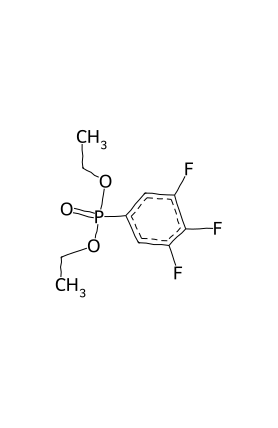 CCOP(=O)(OCC)c1cc(F)c(F)c(F)c1